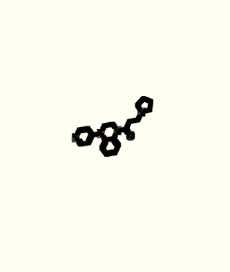 O=C(CCN1CCCC1)N1CCN(c2ccncc2)c2ccccc21